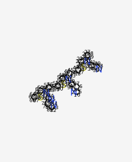 c1cnc2c(c1)ccc1cc(-n3c4cc(-c5ccc6sc7c(ccc8c9ccccc9n(-c9ccc%10cnccc%10c9)c87)c6c5)ccc4c4ccc5c6cc(-c7ccc8c9ccc%10c%11ccccc%11sc%10c9n(-c9cnc%10c(ccc%11cccnc%11%10)c9)c8c7)ccc6sc5c43)ccc12